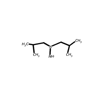 CC(C)CN([NH])CC(C)C